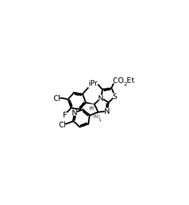 CCOC(=O)C1=C(C(C)C)N2C(=N[C@@](C)(c3ccc(Cl)nc3)[C@H]2c2cc(F)c(Cl)cc2C)S1